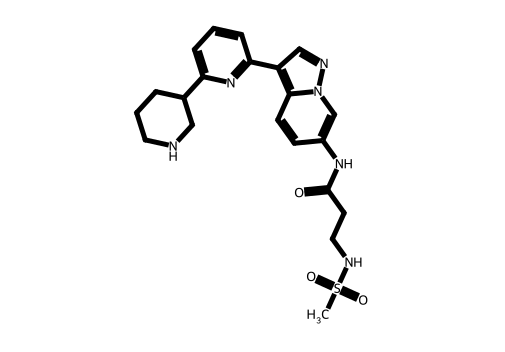 CS(=O)(=O)NCCC(=O)Nc1ccc2c(-c3cccc(C4CCCNC4)n3)cnn2c1